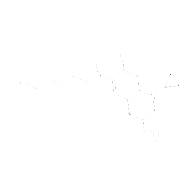 O=C(O)c1cn(C2CC2)c2cc(Cl)c(NCCOCCO)cc2c1=O